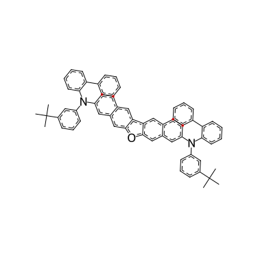 CC(C)(C)c1cccc(N(c2ccc3cc4c(cc3c2)oc2cc3cc(N(c5cccc(C(C)(C)C)c5)c5ccccc5-c5ccccc5)ccc3cc24)c2ccccc2-c2ccccc2)c1